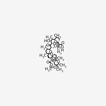 CCOC(=O)N[C@@H]1C=C[C@]2(O[C@H]([C@@H](CC)C(=O)[C@@H](C)[C@@H](O)[C@H](C)[C@@H]3O[C@@H]([C@@H](CC)C(=O)O)CC[C@@H]3C)[C@@H](C)C[C@H]2C)O[C@@]12CC[C@@](C)([C@H]1CC[C@](O)(CC)[C@H](C)O1)O2